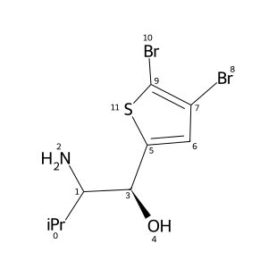 CC(C)C(N)[C@H](O)c1cc(Br)c(Br)s1